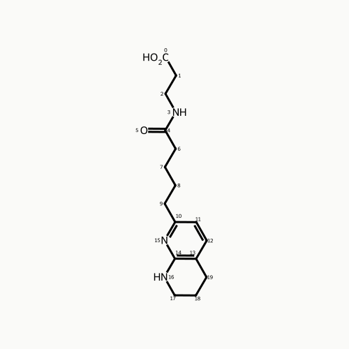 O=C(O)CCNC(=O)CCCCc1ccc2c(n1)NCCC2